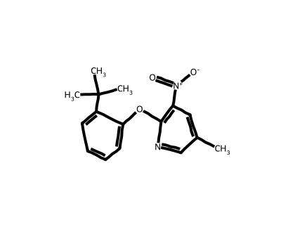 Cc1cnc(Oc2ccccc2C(C)(C)C)c([N+](=O)[O-])c1